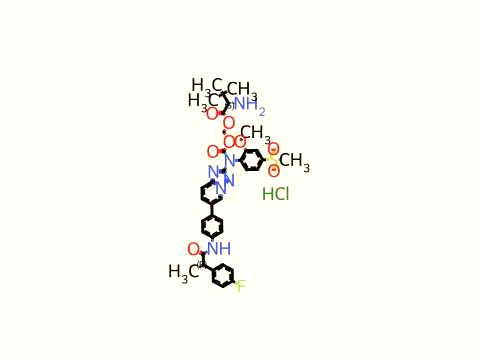 COc1cc(S(C)(=O)=O)ccc1N(C(=O)OCOC(=O)[C@@H](N)C(C)(C)C)c1nc2ccc(-c3ccc(NC(=O)[C@H](C)c4ccc(F)cc4)cc3)cn2n1.Cl